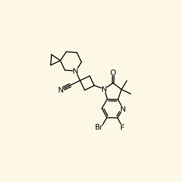 CC1(C)C(=O)N(C2CC(C#N)(N3CCCC4(CC4)C3)C2)c2cc(Br)c(F)nc21